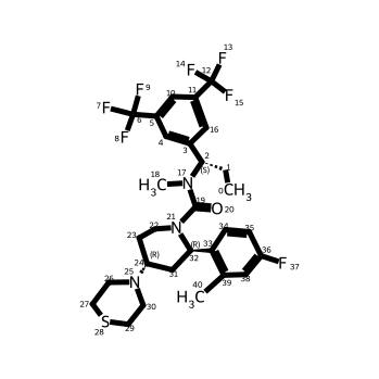 CC[C@@H](c1cc(C(F)(F)F)cc(C(F)(F)F)c1)N(C)C(=O)N1CC[C@@H](N2CCSCC2)C[C@@H]1c1ccc(F)cc1C